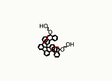 OCCOc1cc2ccc(C3(c4ccc5cc(OCCO)c6ccccc6c5c4)c4c(-c5ccccc5)cccc4-c4cccc(-c5ccccc5)c43)cc2c2ccccc12